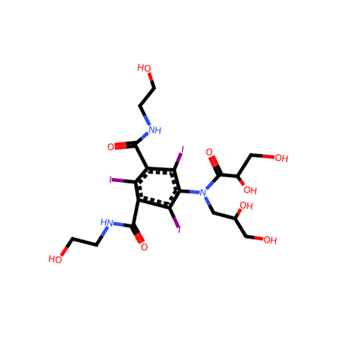 O=C(NCCO)c1c(I)c(C(=O)NCCO)c(I)c(N(CC(O)CO)C(=O)C(O)CO)c1I